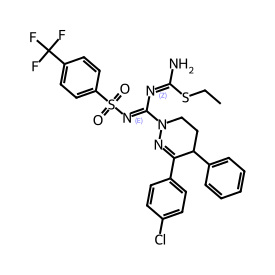 CCS/C(N)=N\C(=N/S(=O)(=O)c1ccc(C(F)(F)F)cc1)N1CCC(c2ccccc2)C(c2ccc(Cl)cc2)=N1